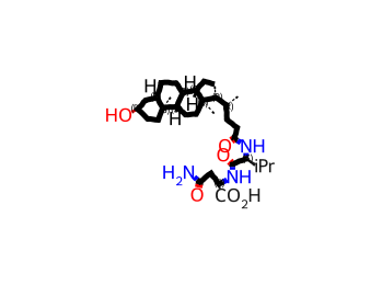 CC(C)[C@H](NC(=O)CC[C@@H](C)[C@H]1CC[C@H]2[C@@H]3CC[C@@H]4C[C@H](O)CC[C@]4(C)[C@H]3CC[C@]12C)C(=O)N[C@@H](CC(N)=O)C(=O)O